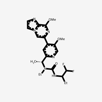 CCC(NC(=O)N(CC)[C@H](C)c1cc(-c2cn3ccnc3c(OC)n2)c(OC)cn1)C(F)F